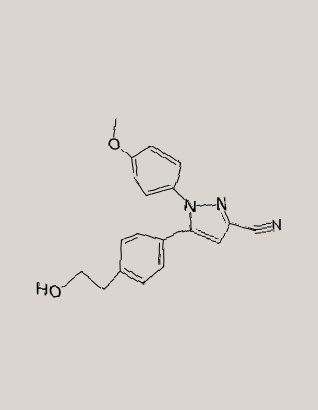 COc1ccc(-n2nc(C#N)cc2-c2ccc(CCO)cc2)cc1